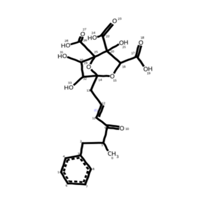 CC(Cc1ccccc1)C(=O)/C=C/CC12OC(C(=O)O)C(O)(C(=O)O)C(C(=O)O)(O1)C(O)C2O